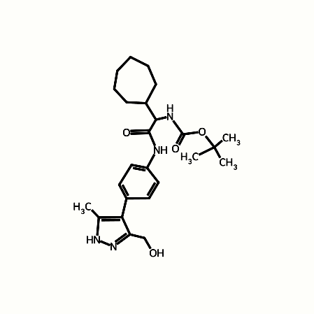 Cc1[nH]nc(CO)c1-c1ccc(NC(=O)C(NC(=O)OC(C)(C)C)C2CCCCCC2)cc1